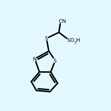 N#CC(Sc1nc2ccccc2s1)S(=O)(=O)O